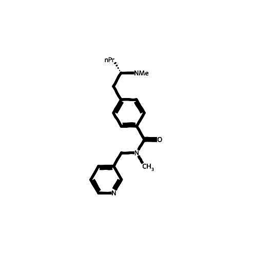 CCC[C@@H](Cc1ccc(C(=O)N(C)Cc2cccnc2)cc1)NC